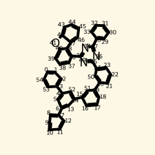 c1ccc(-c2cc(-c3ccccc3)cc(-c3cccc(-c4cccc(-c5nc(-c6ccccc6)nc(-c6cccc7oc8ccccc8c67)n5)c4)c3)c2)cc1